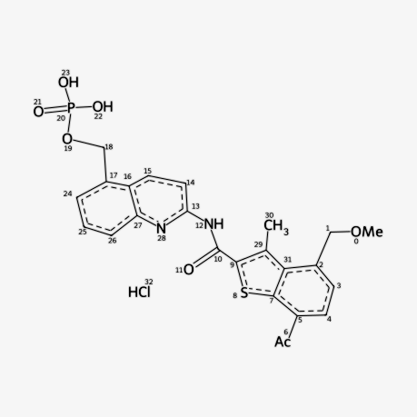 COCc1ccc(C(C)=O)c2sc(C(=O)Nc3ccc4c(COP(=O)(O)O)cccc4n3)c(C)c12.Cl